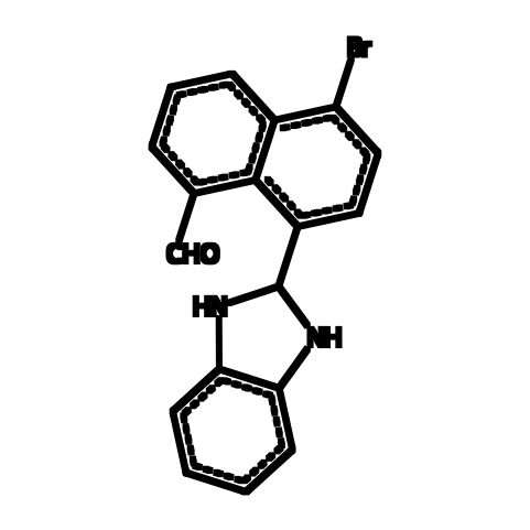 O=Cc1cccc2c(Br)ccc(C3Nc4ccccc4N3)c12